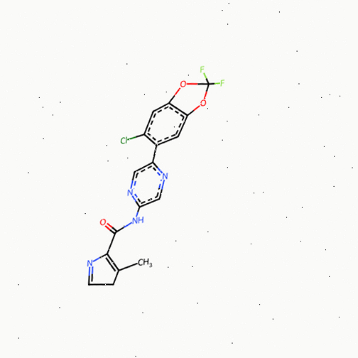 CC1=C(C(=O)Nc2cnc(-c3cc4c(cc3Cl)OC(F)(F)O4)cn2)N=CC1